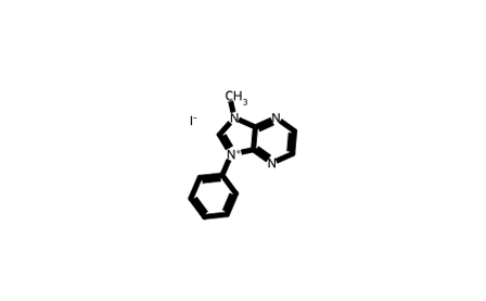 Cn1c[n+](-c2ccccc2)c2nccnc21.[I-]